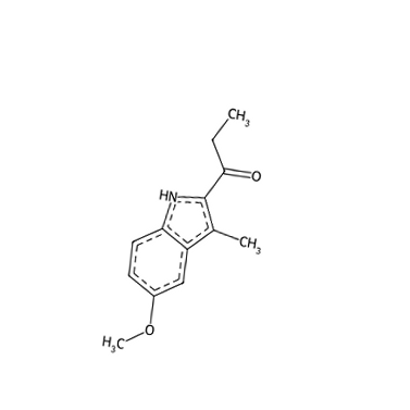 CCC(=O)c1[nH]c2ccc(OC)cc2c1C